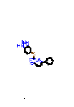 C1=CC2NN=NC2C=C1Sc1nnc2ccc(-c3ccccc3)nn12